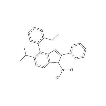 CCc1ccccc1-c1c(C(C)C)ccc2c1C=C(c1ccccc1)[CH]2[Zr]([Cl])[Cl]